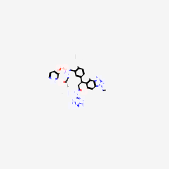 CC[C@@H]1CN(Cc2cc(C(CC(=O)Nc3nn[nH]n3)c3ccc4c(nnn4CC)c3C)ccc2C)S(=O)(=O)c2cccnc2O1